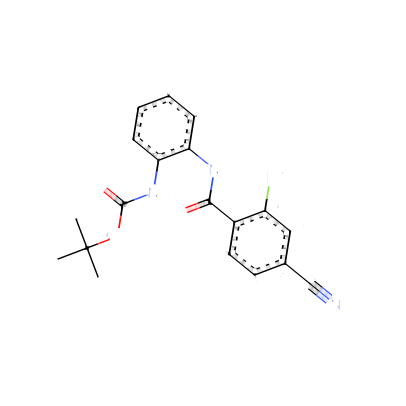 CC(C)(C)OC(=O)Nc1ccccc1NC(=O)c1ccc(C#N)cc1F